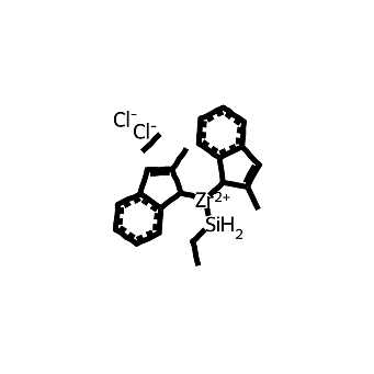 CC.CC[SiH2][Zr+2]([CH]1C(C)=Cc2ccccc21)[CH]1C(C)=Cc2ccccc21.[Cl-].[Cl-]